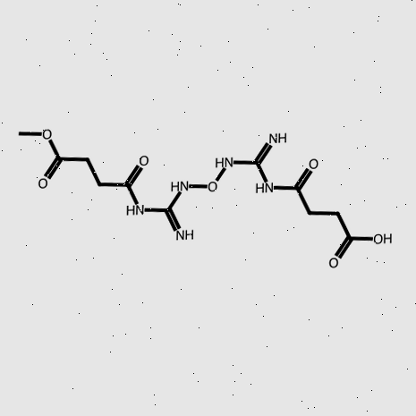 COC(=O)CCC(=O)NC(=N)NONC(=N)NC(=O)CCC(=O)O